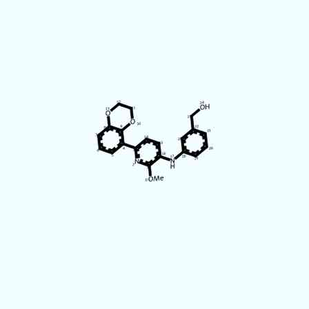 COc1nc(-c2cccc3c2OCCO3)ccc1Nc1cccc(CO)c1